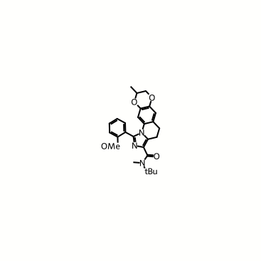 COc1ccccc1-c1nc(C(=O)N(C)C(C)(C)C)c2n1-c1cc3c(cc1CC2)OCC(C)O3